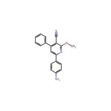 COc1nc(-c2ccc(N)cc2)cc(-c2ccccc2)c1C#N